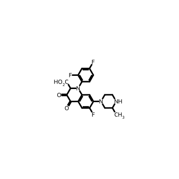 CC1CN(c2cc3c(cc2F)C(=O)C(=O)C(C(=O)O)N3c2ccc(F)cc2F)CCN1